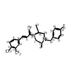 CC1CN(C(=O)C=Cc2ccc(Cl)c(C(F)(F)F)c2)C(C)CN1Cc1ccc(F)cc1